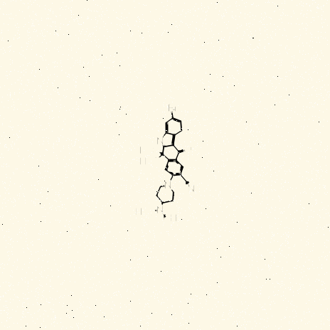 CN(C)C1CCN(c2cc3c(cc2C#N)C(=O)C2=C4CC=C(Br)C=C4N=C2C3(C)C)CC1